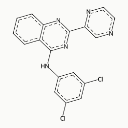 Clc1cc(Cl)cc(Nc2nc(-c3cnccn3)nc3ccccc23)c1